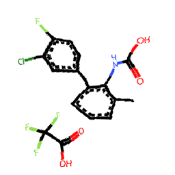 Cc1cccc(-c2ccc(F)c(Cl)c2)c1NC(=O)O.O=C(O)C(F)(F)F